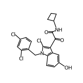 O=C(NC1CCC1)C(=O)c1c(Cl)n(Cc2ccc(Cl)cc2Cl)c2ccc(O)cc12